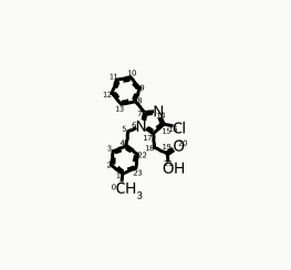 Cc1ccc(Cn2c(-c3ccccc3)nc(Cl)c2CC(=O)O)cc1